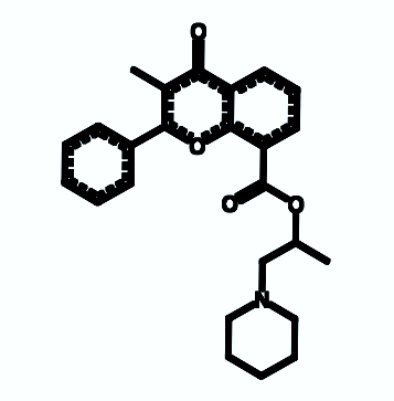 Cc1c(-c2ccccc2)oc2c(C(=O)OC(C)CN3CCCCC3)cccc2c1=O